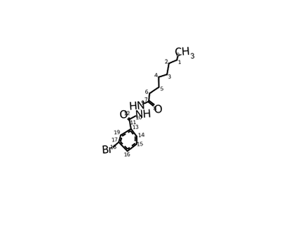 CCCCCCCC(=O)NNC(=O)c1cccc(Br)c1